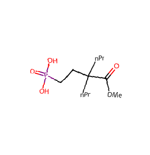 CCCC(CCC)(CCP(=O)(O)O)C(=O)OC